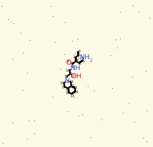 C=C/C=C(\C=C/N)C(=O)NC[C@H](O)CN1CCc2ccccc2C1